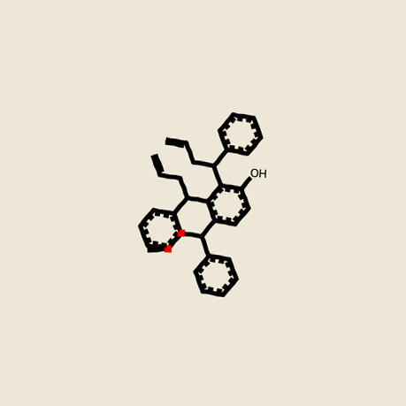 C=CCC(c1ccccc1)c1ccc(O)c(C(CC=C)c2ccccc2)c1C(CC=C)c1ccccc1